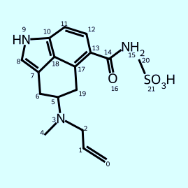 C=CCN(C)C1Cc2c[nH]c3ccc(C(N)=O)c(c23)C1.CS(=O)(=O)O